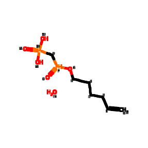 C=CCCCCO[PH](=O)CP(=O)(O)O.O